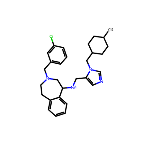 N#CC1CCC(Cn2cncc2CNC2CN(Cc3cccc(Cl)c3)CCc3ccccc32)CC1